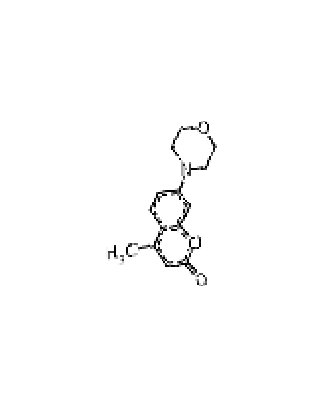 Cc1cc(=O)oc2cc(N3CCOCC3)ccc12